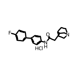 Cl.O=C(CC1CN2CCC1CC2)Nc1ccc(-c2ccc(F)cc2)cc1